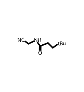 CC(C)(C)CCC(=O)NCC#N